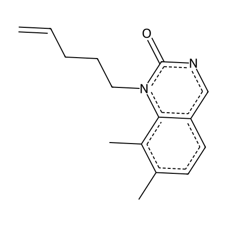 C=CCCCn1c(=O)ncc2ccc(C)c(C)c21